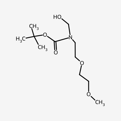 COCCOCCN(CO)C(=O)OC(C)(C)C